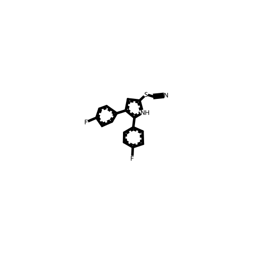 N#CSc1cc(-c2ccc(F)cc2)c(-c2ccc(F)cc2)[nH]1